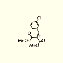 COCC(=O)/C(=C\c1cccc(Cl)c1)C(=O)OC